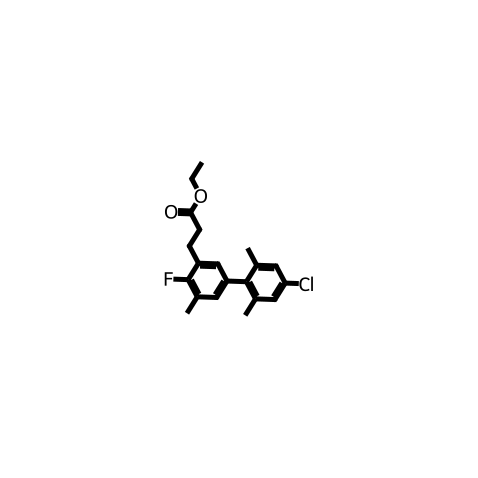 CCOC(=O)CCc1cc(-c2c(C)cc(Cl)cc2C)cc(C)c1F